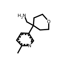 Cc1ccc(C2(CN)CCOCC2)cn1